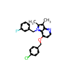 Cc1c(C)n(Cc2cccc(F)c2)c2c(OCc3ccc(Cl)cc3)ccnc12